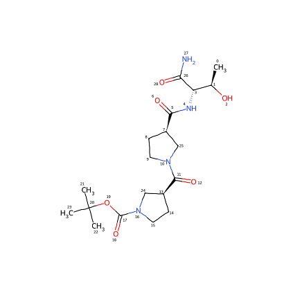 C[C@@H](O)[C@H](NC(=O)[C@@H]1CCN(C(=O)[C@H]2CCN(C(=O)OC(C)(C)C)C2)C1)C(N)=O